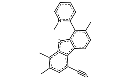 Cc1ccc2c(oc3c(C)c(C)cc(C#N)c32)c1-c1cccc[n+]1C